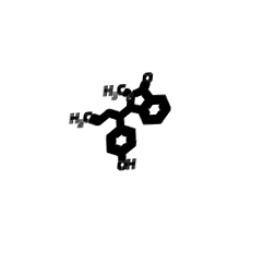 C=CCC(c1ccc(O)cc1)C1c2ccccc2C(=O)N1C